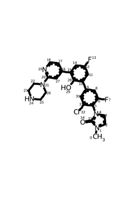 Cn1ccn(-c2c(F)cc(-c3cc(F)cc(-c4ccnc(N5CCNCC5)c4)c3O)cc2Cl)c1=O